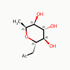 CC(=O)C[C@@H]1O[C@@H](C)[C@@H](O)[C@H](O)[C@H]1O